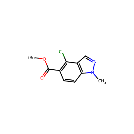 Cn1ncc2c(Cl)c(C(=O)OC(C)(C)C)ccc21